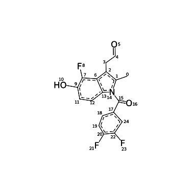 Cc1c(CC=O)c2c(F)c(O)ccc2n1C(=O)c1ccc(F)c(F)c1